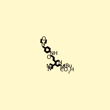 Cn1cc(-c2cc(N(C(=O)O)C(C)(C)C)ncc2/C=C/C(=O)Nc2ccc(CN3CCOCC3)cc2)cn1